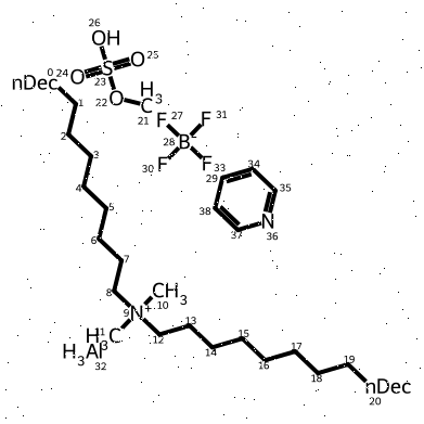 CCCCCCCCCCCCCCCCCC[N+](C)(C)CCCCCCCCCCCCCCCCCC.COS(=O)(=O)O.F[B-](F)(F)F.[AlH3].c1ccncc1